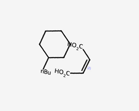 CCCCC1CCCCC1.O=C(O)/C=C\C(=O)O